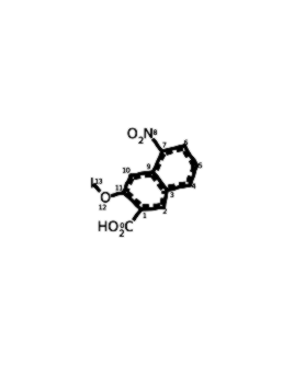 O=C(O)c1cc2cccc([N+](=O)[O-])c2cc1OI